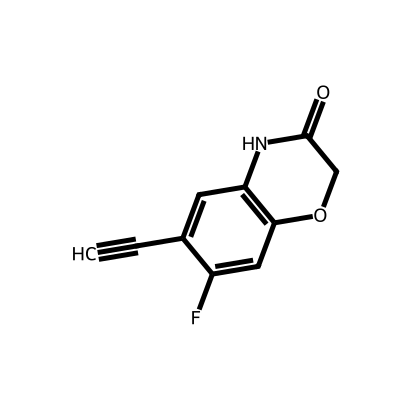 C#Cc1cc2c(cc1F)OCC(=O)N2